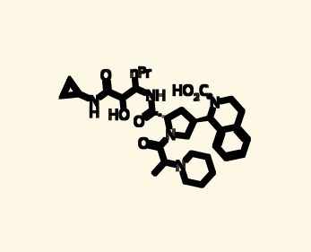 CCCC(NC(=O)[C@@H]1C[C@@H](C2c3ccccc3CCN2C(=O)O)CN1C(=O)C(C)N1CCCCC1)C(O)C(=O)NC1CC1